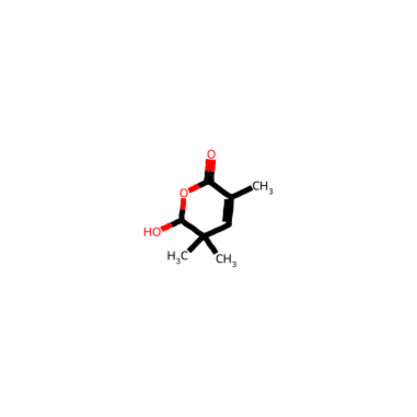 CC1=CC(C)(C)C(O)OC1=O